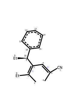 CC/C(C)=C(/C=C(\C)C#N)[C@@H](CC)c1ccccc1